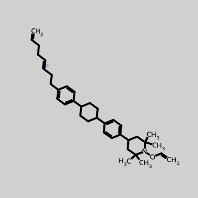 C=CCC/C=C/CCc1ccc(C2CCC(c3ccc(C4CC(C)(C)N(OC=C)C(C)(C)C4)cc3)CC2)cc1